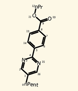 CCCCCc1cnc(-c2ccc(C(=O)OCCC)cc2)nc1